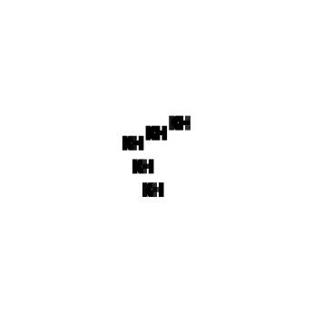 [KH].[KH].[KH].[KH].[KH]